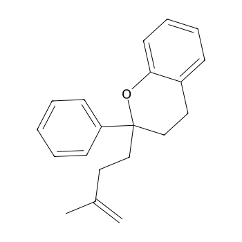 C=C(C)CCC1(c2ccccc2)CCc2ccccc2O1